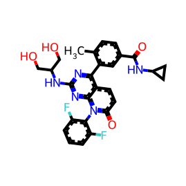 Cc1ccc(C(=O)NC2CC2)cc1-c1nc(NC(CO)CO)nc2c1ccc(=O)n2-c1c(F)cccc1F